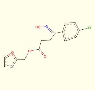 O=C(CC/C(=N\O)c1ccc(Cl)cc1)OCc1ccco1